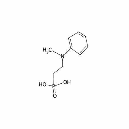 CN(CCP(=O)(O)O)c1ccccc1